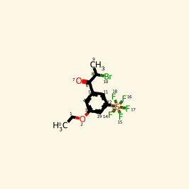 CCOc1cc(C(=O)C(C)Br)cc(S(F)(F)(F)(F)F)c1